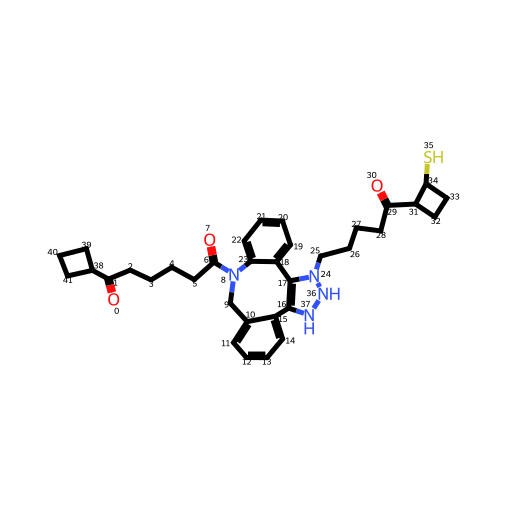 O=C(CCCCC(=O)N1Cc2ccccc2C2=C(c3ccccc31)N(CCCCC(=O)C1CCC1S)NN2)C1CCC1